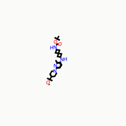 COC(C)(C)C1CCN(c2ccc(NC3CC4(CC(NC(=O)OC(C)(C)C)C4)C3)c(C)n2)CC1